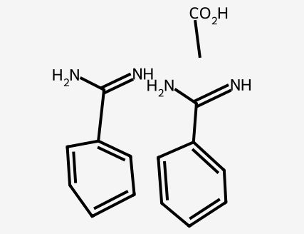 CC(=O)O.N=C(N)c1ccccc1.N=C(N)c1ccccc1